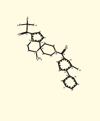 CN1CCn2c(C(=O)C(F)(F)F)ccc2C12CCN(C(=O)c1ccc(-c3ccccc3)c(F)c1)CC2